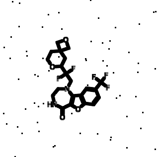 O=C1NCCN(CC(F)(F)C2CC3(CCO2)COC3)c2c1oc1ccc(C(F)(F)F)cc21